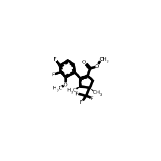 COC(=O)C1=C(c2ccc(F)c(F)c2OC)[C@H](C)[C@](C)(C(F)(F)F)C1